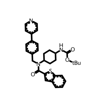 CC(C)(C)OC(=O)NC1CCC(N(Cc2ccc(-c3ccncc3)cc2)C(=O)c2cc3ccccc3s2)CC1